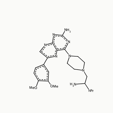 CCCC(N)CN1CCN(c2nc(N)nc3ncc(-c4ccc(OC)c(OC)c4)nc23)CC1